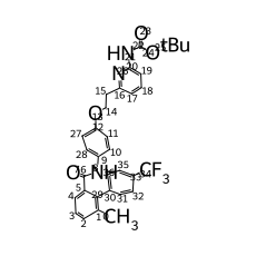 Cc1cccc(C(=O)Nc2ccc(OCCc3cccc(NC(=O)OC(C)(C)C)n3)cc2)c1-c1ccc(C(F)(F)F)cc1